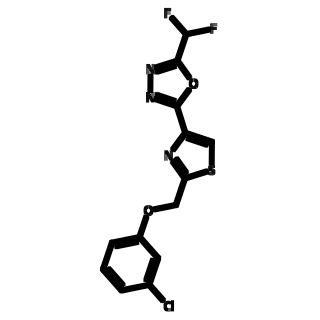 FC(F)c1nnc(-c2csc(COc3cccc(Cl)c3)n2)o1